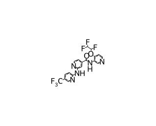 O=C(Nc1cnccc1OC(F)C(F)F)c1ccnc(Nc2ccc(C(F)(F)F)cn2)c1